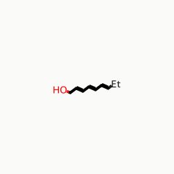 CCC=CC=CC=CCO